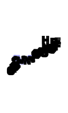 C\C=C/C(=C\C(C)=N\C=C(/C)c1ccc(CC(=O)Nc2cccc(C(F)(F)F)c2)cc1)c1cc[n+]([O-])cc1